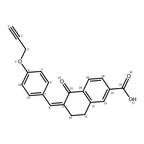 C#CCOc1ccc(C=C2CCc3cc(C(=O)O)ccc3C2=O)cc1